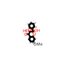 COc1ccc2c(c1)OC(O)(c1ccccc1)C(O)(O)C2=O